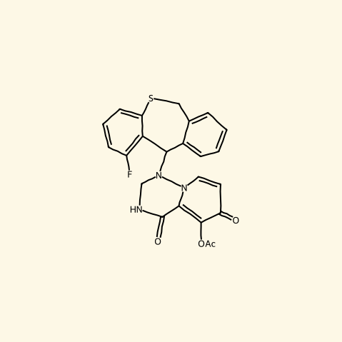 CC(=O)Oc1c2n(ccc1=O)N(C1c3ccccc3CSc3cccc(F)c31)CNC2=O